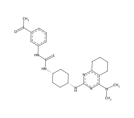 CC(=O)c1cccc(NC(=S)N[C@H]2CC[C@@H](Nc3nc4c(c(N(C)C)n3)CCCC4)CC2)c1